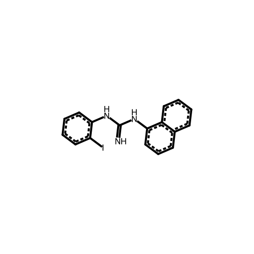 N=C(Nc1ccccc1I)Nc1cccc2ccccc12